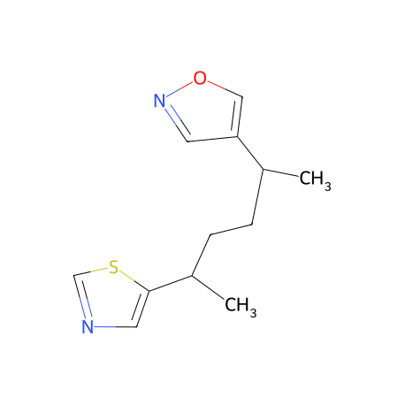 CC(CCC(C)c1cncs1)c1cnoc1